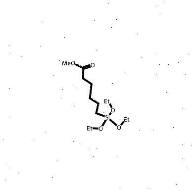 CCO[Si](CCCCCC(=O)OC)(OCC)OCC